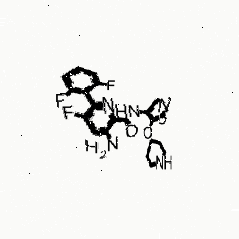 Nc1cc(F)c(-c2c(F)cccc2F)nc1C(=O)Nc1cnsc1OC1CCNCC1